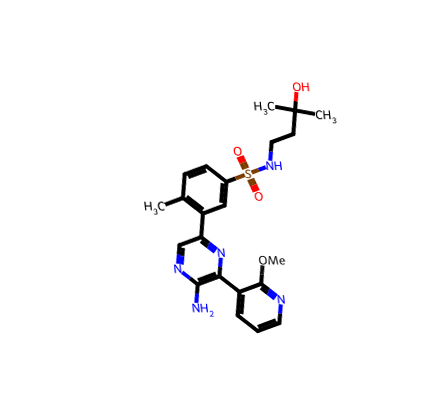 COc1ncccc1-c1nc(-c2cc(S(=O)(=O)NCCC(C)(C)O)ccc2C)cnc1N